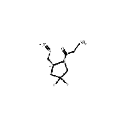 C=NC[C@@H]1CC(F)(F)CN1C(=O)CN